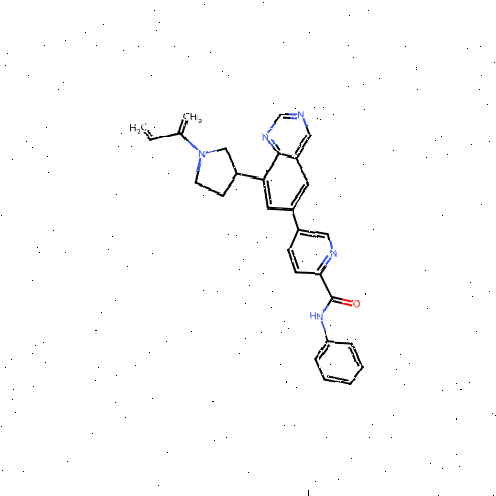 C=CC(=C)N1CCC(c2cc(-c3ccc(C(=O)Nc4ccccc4)nc3)cc3cncnc23)C1